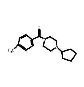 [CH2]c1ccc(C(=O)N2CCN(C3CCCC3)CC2)cc1